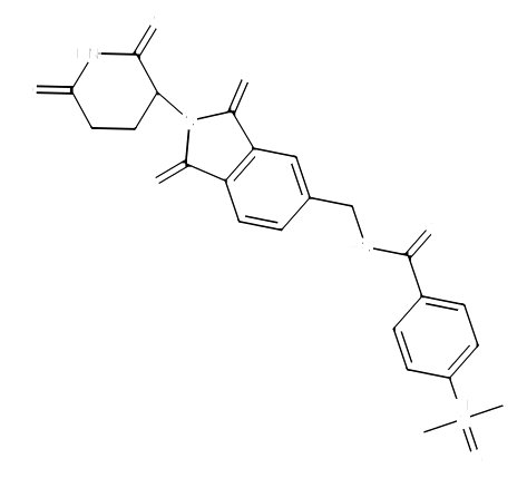 C[C@]1(N2C(=O)c3ccc(CNC(=O)c4ccc([SH](C)(C)=O)cc4)cc3C2=O)CCC(=O)NC1=O